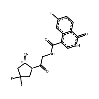 N#C[C@@H]1CC(F)(F)CN1C(=O)CNC(=O)c1c[nH]c(=O)c2ccc(F)cc12